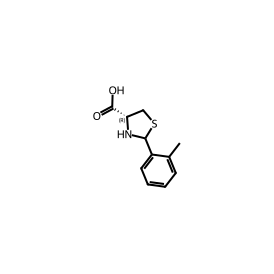 Cc1ccccc1C1N[C@H](C(=O)O)CS1